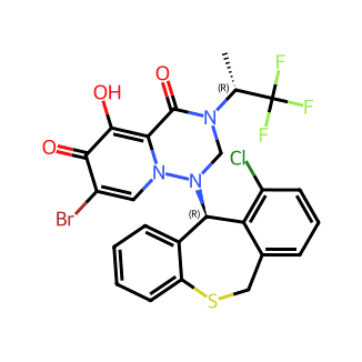 C[C@@H](N1CN([C@@H]2c3ccccc3SCc3cccc(Cl)c32)n2cc(Br)c(=O)c(O)c2C1=O)C(F)(F)F